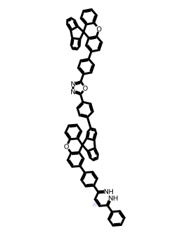 N=C(/C=C\C(=N)c1ccc(-c2ccc3c(c2)C2(c4ccccc4O3)c3ccccc3-c3ccc(-c4ccc(-c5nnc(-c6ccc(-c7ccc8c(c7)C7(c9ccccc9O8)c8ccccc8-c8ccccc87)cc6)o5)cc4)cc32)cc1)c1ccccc1